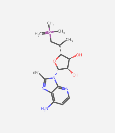 C=P(C)(C)CC(C)[C@H]1O[C@@H](n2c(CCC)nc3c(N)ccnc32)[C@H](O)[C@@H]1O